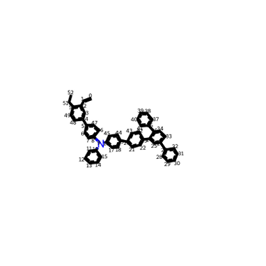 C=Cc1cc(-c2ccc(N(c3ccccc3)c3ccc(-c4ccc(-c5cc(-c6ccccc6)ccc5-c5ccccc5)cc4)cc3)cc2)ccc1CC